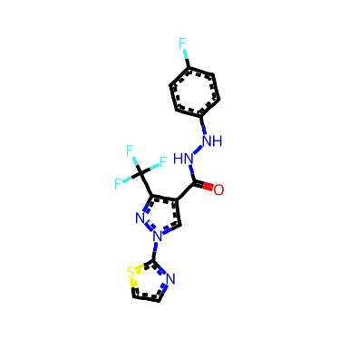 O=C(NNc1ccc(F)cc1)c1cn(-c2nccs2)nc1C(F)(F)F